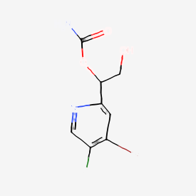 NC(=O)OC(CO)c1cc(Br)c(Cl)cn1